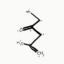 C=C(C)CC(=O)CCCC